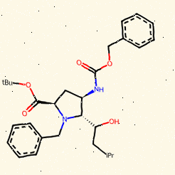 CC(C)CC(O)[C@H]1[C@H](NC(=O)OCc2ccccc2)C[C@H](C(=O)OC(C)(C)C)N1Cc1ccccc1